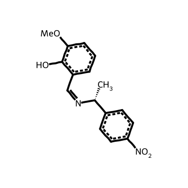 COc1cccc(/C=N\[C@H](C)c2ccc([N+](=O)[O-])cc2)c1O